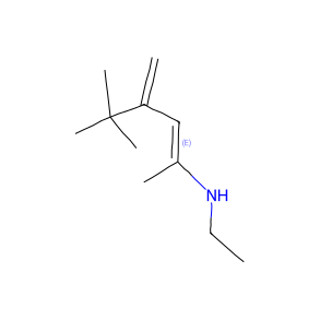 C=C(/C=C(\C)NCC)C(C)(C)C